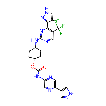 Cn1cc(-c2cnc(NC(=O)O[C@H]3CC[C@H](Nc4ncc(C(F)(F)F)c(-c5n[nH]cc5Cl)n4)CC3)cn2)cn1